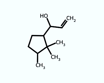 C=CC(O)C1CCC(C)C1(C)C